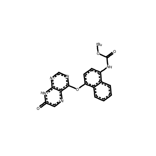 CC(C)(C)OC(=O)Nc1ccc(Oc2ncnc3[nH]c(=O)cnc23)c2ccccc12